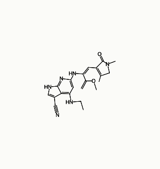 C=C(OC)/C(=C\C1=C(C)CN(C)C1=O)Nc1cc(NCC)c2c(C#N)c[nH]c2n1